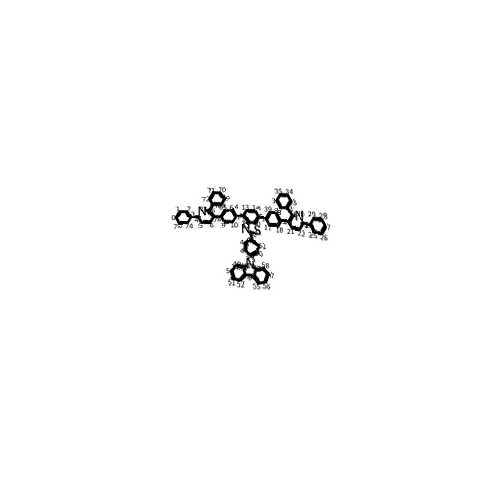 c1ccc(-c2ccc(-c3ccc(-c4ccc(-c5ccc(-c6ccc(-c7ccccc7)nc6-c6ccccc6)cc5)c5sc(-c6ccc(-n7c8ccccc8c8ccccc87)cc6)nc45)cc3)c(-c3ccccc3)n2)cc1